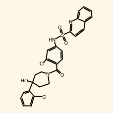 O=C(c1ccc(NS(=O)(=O)c2ccc3ccccc3n2)cc1Cl)N1CCC(O)(c2ccccc2Cl)CC1